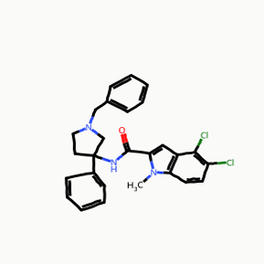 Cn1c(C(=O)NC2(c3ccccc3)CCN(Cc3ccccc3)C2)cc2c(Cl)c(Cl)ccc21